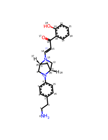 NCCc1ccc(N2C[C@H]3C[C@@H]2CN3/C=C/C(=O)c2ccccc2O)cc1